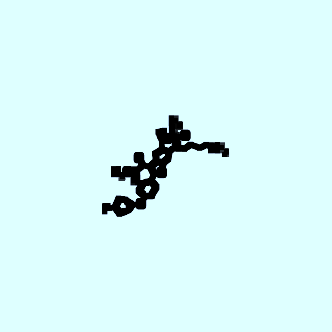 CNC(=O)c1c(-c2ccc(Oc3ccc(F)cc3)cc2)oc2cc(N(CCCCN)S(C)(=O)=O)c(C3CC3)cc12